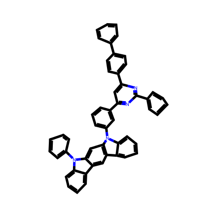 c1ccc(-c2ccc(-c3cc(-c4cccc(-n5c6ccccc6c6cc7c8ccccc8n(-c8ccccc8)c7cc65)c4)nc(-c4ccccc4)n3)cc2)cc1